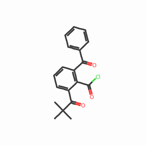 CC(C)(C)C(=O)c1cccc(C(=O)c2ccccc2)c1C(=O)Cl